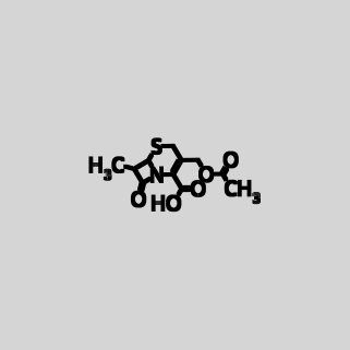 CC(=O)OCC1=C(C(=O)O)N2C(=O)C(C)C2SC1